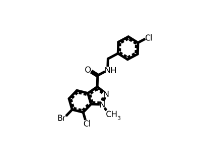 Cn1nc(C(=O)NCc2ccc(Cl)cc2)c2ccc(Br)c(Cl)c21